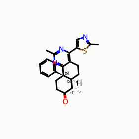 Cc1nc(-c2cnc(C)s2)c2c(n1)[C@@]1(c3ccccc3)CCC(=O)[C@@H](C)[C@@H]1CC2